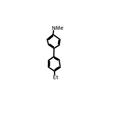 CCc1ccc(-c2ccc(NC)cc2)cc1